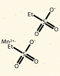 CCS(=O)(=O)[O-].CCS(=O)(=O)[O-].[Mn+2]